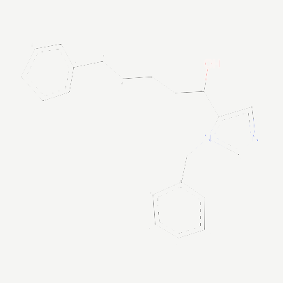 OC(CCCCc1ccccc1)c1cncn1Cc1ccccc1